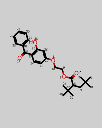 CC(C)(C)CC(C(=O)OCCOc1ccc(C(=O)c2ccccc2)c(O)c1)C(C)(C)C